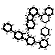 C1=CCC([C@@H]2Cc3ccccc3C(c3cccc4oc5cc(-n6c7cc(-c8ccccc8)ccc7c7ccc(-c8ccccc8)cc76)ccc5c34)=N2)C=C1